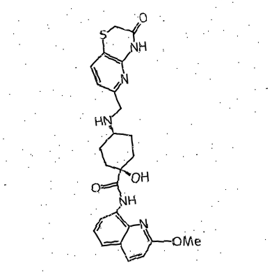 COc1ccc2cccc(NC(=O)[C@]3(O)CC[C@@H](NCc4ccc5c(n4)NC(=O)CS5)CC3)c2n1